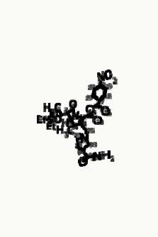 CC[Si](CC)(CC)OC(C)[C@H]1C(=O)N2C(C(=O)OC(=O)c3ccc([N+](=O)[O-])cc3)=C(CN3CC[C@H](C(N)=O)C3)[C@H](C)[C@H]12